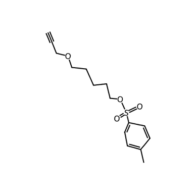 C#CCOCCCCCOS(=O)(=O)c1ccc(C)cc1